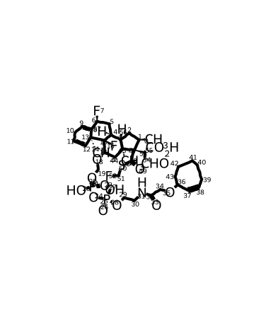 C[C@@H]1C[C@H]2[C@@H]3C[C@H](F)C4=CCC=C[C@]4(C)[C@@]3(F)[C@@H](OCOP(=O)(O)OP(=O)(O)OCCNC(=O)COC3C#CCCCCC3)C[C@]2(C)[C@]1(C(=O)SCF)C(C=O)C(=O)O